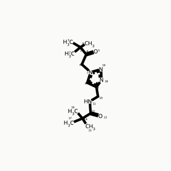 CC(C)(C)C(=O)Cn1cc(CNC(=O)C(C)(C)C)nn1